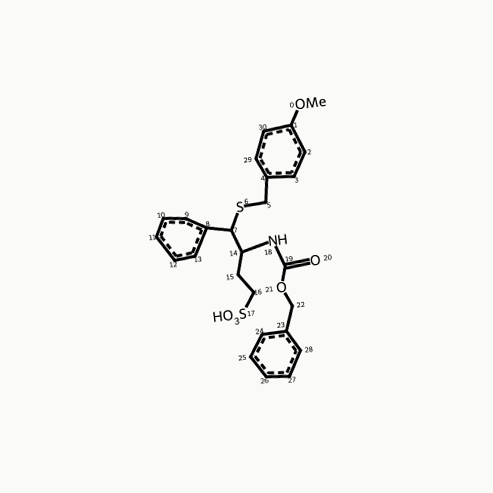 COc1ccc(CSC(c2ccccc2)C(CCS(=O)(=O)O)NC(=O)OCc2ccccc2)cc1